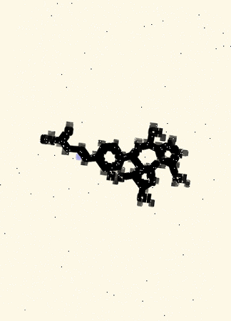 Cc1sc2c(c1C)C(c1ccc(/C=C/CC(=O)N=O)cc1)=NC(C)c1nnc(C)n1-2